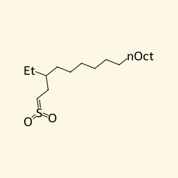 CCCCCCCCCCCCCCC(CC)CC=S(=O)=O